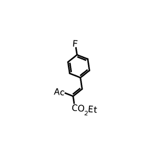 CCOC(=O)C(=Cc1ccc(F)cc1)C(C)=O